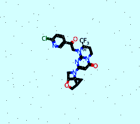 O=C(CN1c2nc(N3CC4OCC5CC543)cc(=O)n2CC[C@H]1C(F)(F)F)c1ccc(Cl)nc1